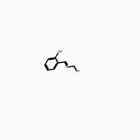 CC(C)CN=Cc1ccccc1O